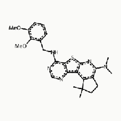 COc1cccc(CNc2ncnc3c2sc2nc(N(C)C)c4c(c23)C(C)(C)CC4)c1OC